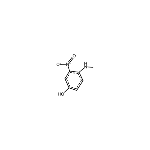 CNc1ccc(O)cc1[N+](=O)[O-]